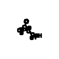 CCC(CC(C)(CC(C)(CC)C(=O)OC)C(=O)OCCOC(=O)C(C)O)c1ccccc1